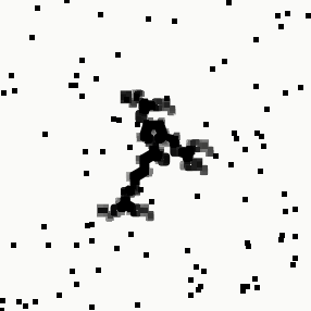 CC(C)OC[C@@H]1C[C@@H](OC(C)C)CN1C(=O)CCCSSC(C)C